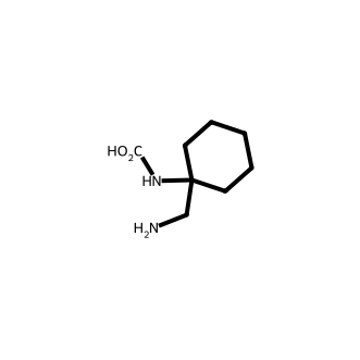 NCC1(NC(=O)O)CCCCC1